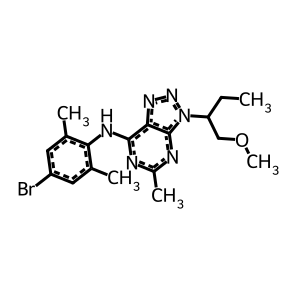 CCC(COC)n1nnc2c(Nc3c(C)cc(Br)cc3C)nc(C)nc21